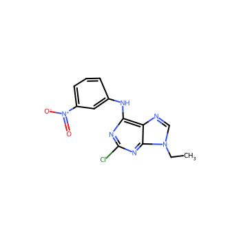 CCn1cnc2c(Nc3cccc([N+](=O)[O-])c3)nc(Cl)nc21